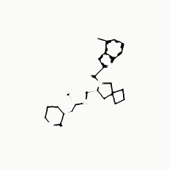 N#C[C@H](C[C@@H]1CCCNC1=O)NC(=O)[C@@H]1CC2(CCC2)CN1C(=O)c1cc2c(Cl)cccc2[nH]1